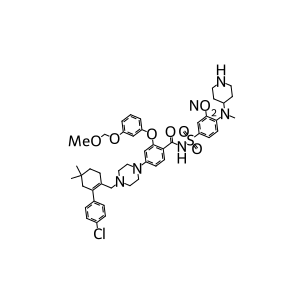 COCOc1cccc(Oc2cc(N3CCN(CC4=C(c5ccc(Cl)cc5)CC(C)(C)CC4)CC3)ccc2C(=O)NS(=O)(=O)c2ccc(N(C)C3CCNCC3)c([N+](=O)[O-])c2)c1